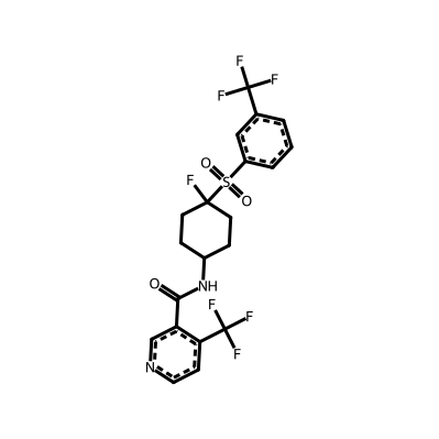 O=C(NC1CCC(F)(S(=O)(=O)c2cccc(C(F)(F)F)c2)CC1)c1cnccc1C(F)(F)F